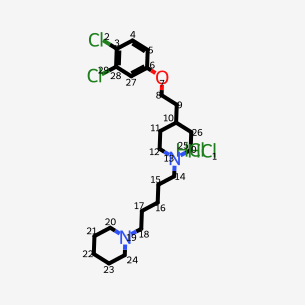 Cl.Cl.Clc1ccc(OCCC2CCN(CCCCCN3CCCCC3)CC2)cc1Cl